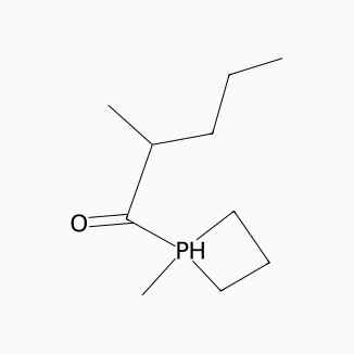 CCCC(C)C(=O)[PH]1(C)CCC1